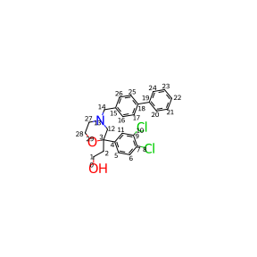 OCCC1(c2ccc(Cl)c(Cl)c2)CN(Cc2ccc(-c3ccccc3)cc2)CCO1